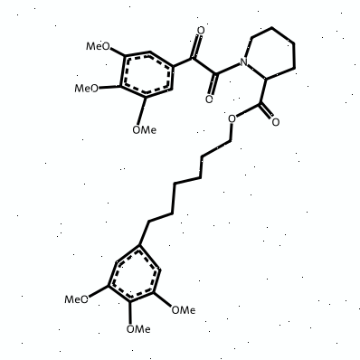 COc1cc(CCCCCCOC(=O)C2CCCCN2C(=O)C(=O)c2cc(OC)c(OC)c(OC)c2)cc(OC)c1OC